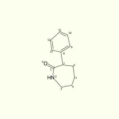 O=C1NCCCCC1c1ccccc1